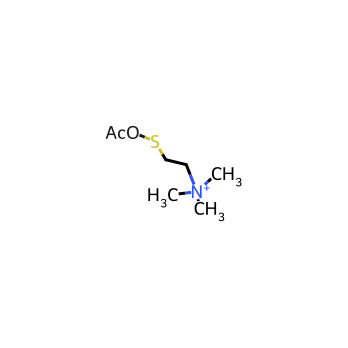 CC(=O)OSCC[N+](C)(C)C